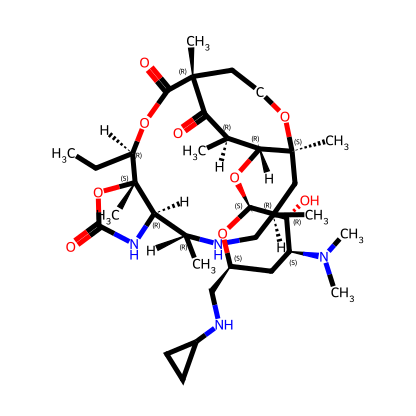 CC[C@H]1OC(=O)[C@]2(C)CCO[C@@](C)(C[C@@H](C)CN[C@H](C)[C@H]3NC(=O)O[C@@]31C)[C@H](O[C@@H]1O[C@H](CNC3CC3)C[C@H](N(C)C)[C@H]1O)[C@@H](C)C2=O